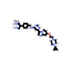 CN/C=C(\C=N)c1ccc(CNc2cc(-c3cnc4cc(OCCN5CCN(C6CC6)CC5)ccn34)ncn2)cc1